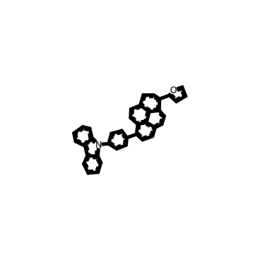 c1coc(-c2ccc3ccc4c(-c5ccc(-n6c7ccccc7c7ccccc76)cc5)ccc5ccc2c3c54)c1